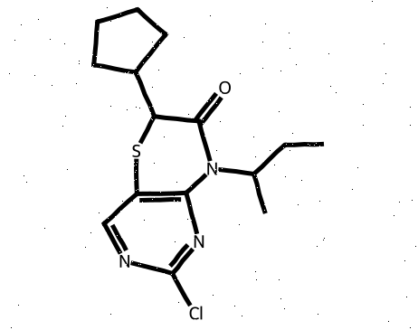 CCC(C)N1C(=O)C(C2CCCC2)Sc2cnc(Cl)nc21